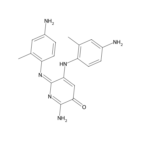 Cc1cc(N)ccc1N=C1N=C(N)C(=O)C=C1Nc1ccc(N)cc1C